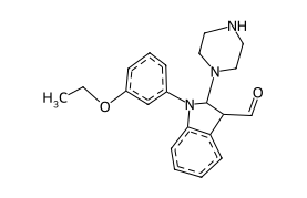 CCOc1cccc(N2c3ccccc3C(C=O)C2N2CCNCC2)c1